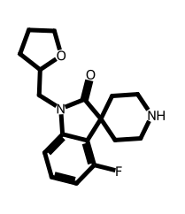 O=C1N(CC2CCCO2)c2cccc(F)c2C12CCNCC2